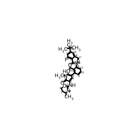 CC1CCOC(Nc2cc(-c3cccc(-n4ncc5cc(C(C)(C)C)cc(F)c5c4=O)c3CO)cn(C)c2=O)=N1